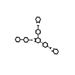 c1ccc(-c2ccc(-c3nc4c(-c5ccc(-c6nc7ccccc7s6)cc5)cc(-c5ccc(-c6nc7ccccc7s6)cc5)cc4o3)cc2)cc1